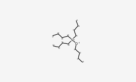 CCCCO[Si](CCCC)(CCCC)CCCC